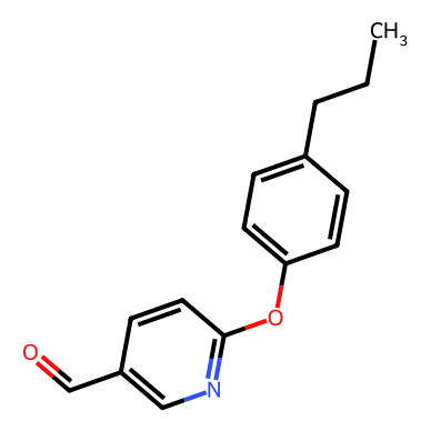 CCCc1ccc(Oc2ccc(C=O)cn2)cc1